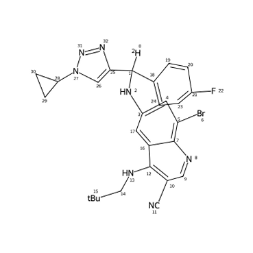 [2H]C(Nc1cc(Br)c2ncc(C#N)c(NCC(C)(C)C)c2c1)(c1ccc(F)cc1)c1cn(C2CC2)nn1